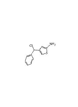 Nc1cc(C(Cl)c2ccccc2)cs1